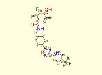 O=C(NC[C@H]1CC[C@H](c2nc(-c3ccc(C(F)(F)F)cn3)no2)CC1)c1cc(F)c(O)c(F)c1F